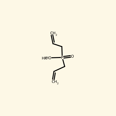 C=CCP(=O)(O)CC=C.[KH]